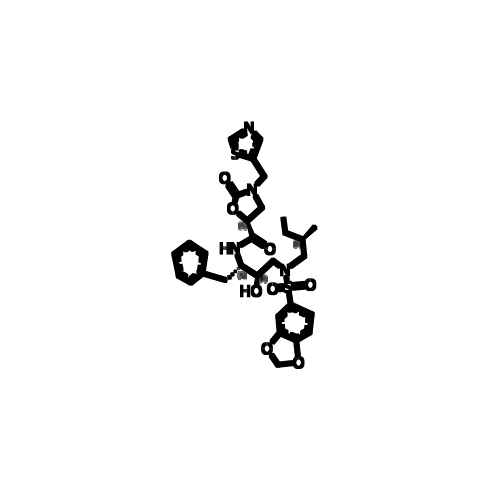 CC[C@@H](C)CN(C[C@@H](O)[C@H](Cc1ccccc1)NC(=O)[C@@H]1CN(Cc2cncs2)C(=O)O1)S(=O)(=O)c1ccc2c(c1)OCO2